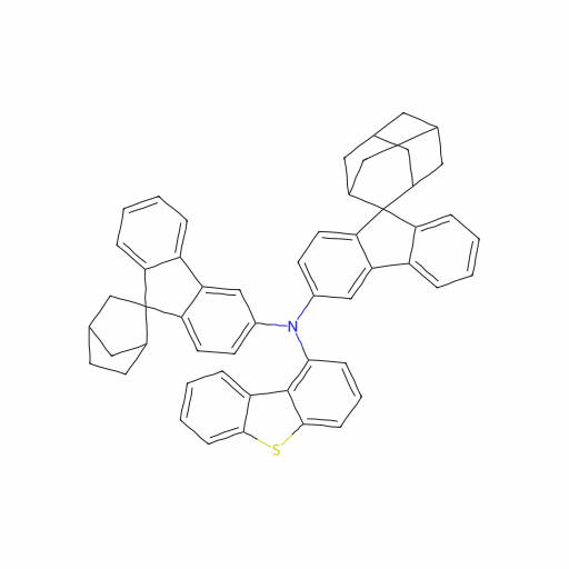 c1ccc2c(c1)-c1cc(N(c3ccc4c(c3)-c3ccccc3C43C4CC5CC(C4)CC3C5)c3cccc4sc5ccccc5c34)ccc1C21CC2CCC1C2